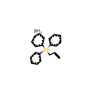 B.C=CC[PH](c1ccccc1)(c1ccccc1)c1ccccc1